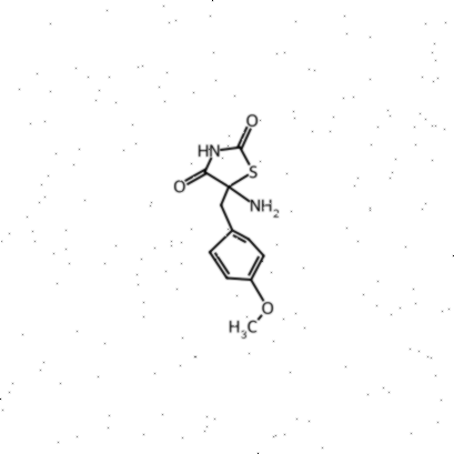 COc1ccc(CC2(N)SC(=O)NC2=O)cc1